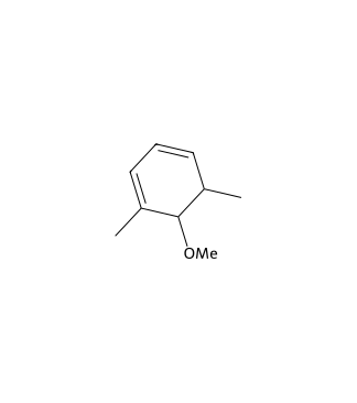 COC1C(C)=CC=CC1C